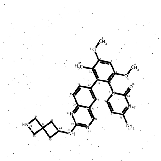 COc1cc(OC)c(-n2ccc(N)nc2=O)c(-c2ccc3nc(NC4CC5(CNC5)C4)ncc3c2)c1C